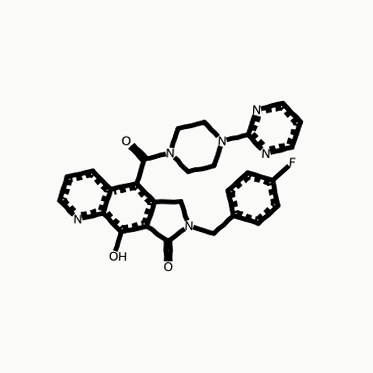 O=C1c2c(c(C(=O)N3CCN(c4ncccn4)CC3)c3cccnc3c2O)CN1Cc1ccc(F)cc1